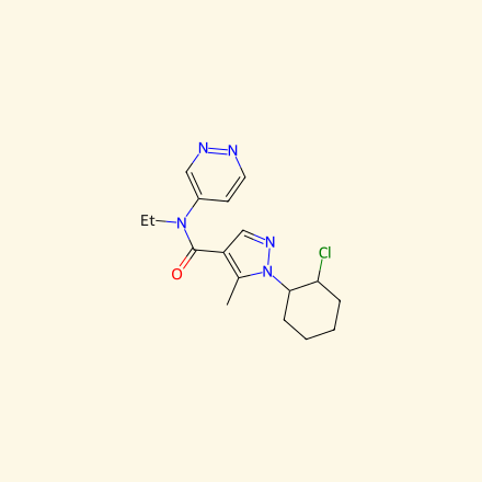 CCN(C(=O)c1cnn(C2CCCCC2Cl)c1C)c1ccnnc1